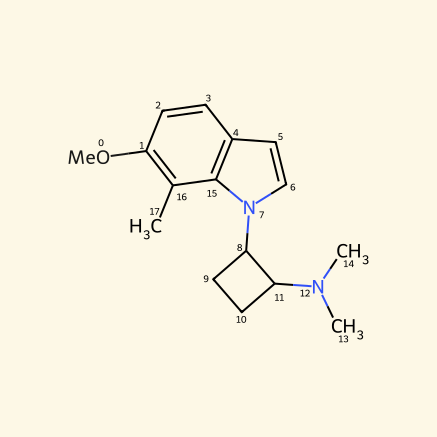 COc1ccc2ccn(C3CCC3N(C)C)c2c1C